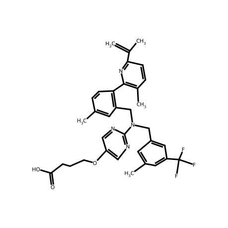 C=C(C)c1ccc(C)c(-c2ccc(C)cc2CN(Cc2cc(C)cc(C(F)(F)F)c2)c2ncc(OCCCC(=O)O)cn2)n1